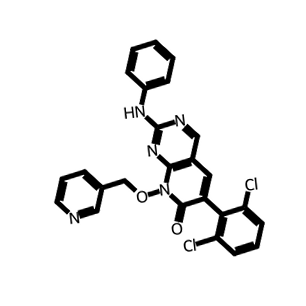 O=c1c(-c2c(Cl)cccc2Cl)cc2cnc(Nc3ccccc3)nc2n1OCc1cccnc1